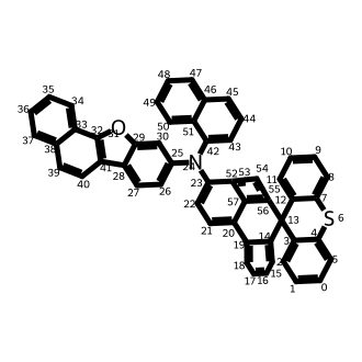 c1ccc2c(c1)Sc1ccccc1C21c2ccccc2-c2ccc(N(c3ccc4c(c3)oc3c5ccccc5ccc43)c3cccc4ccccc34)c3cccc1c23